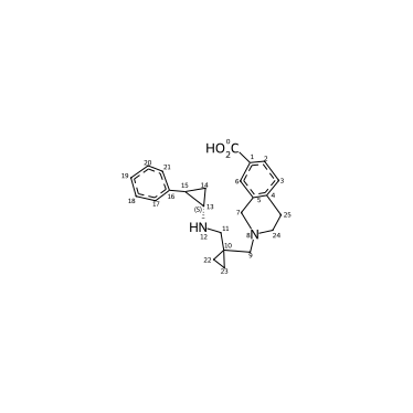 O=C(O)c1ccc2c(c1)CN(CC1(CN[C@H]3CC3c3ccccc3)CC1)CC2